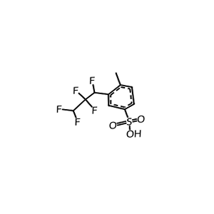 Cc1ccc(S(=O)(=O)O)cc1C(F)C(F)(F)C(F)F